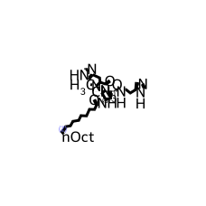 CCCCCCCC/C=C\CCCCCCCC(=O)N[C@H]1C[C@@H](C(=O)NCCc2cnc[nH]2)N(C(=O)C(Cc2c[nH]cn2)N(C)C)C1